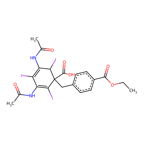 CCOC(=O)c1ccc(CC2(C(=O)O)C(I)=C(NC(C)=O)C(I)=C(NC(C)=O)C2I)cc1